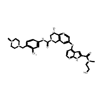 CC[C@H]1CN(C(=O)Nc2ccc(CN3CCN(C)CC3)c(C(F)(F)F)c2)Cc2cc(Oc3ccnc4[nH]c(C(=O)N(C)CCO)cc34)cnc21